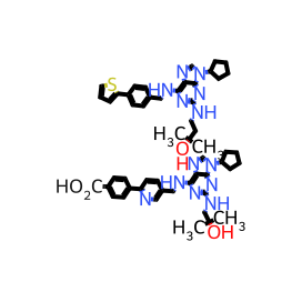 CC(C)(O)CCNc1nc(NCc2ccc(-c3cccs3)cc2)c2ncn(C3CCCC3)c2n1.CC(C)(O)CNc1nc(NCc2ccc(-c3ccc(C(=O)O)cc3)nc2)c2ncn(C3CCCC3)c2n1